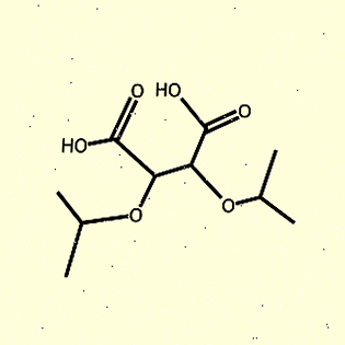 CC(C)OC(C(=O)O)C(OC(C)C)C(=O)O